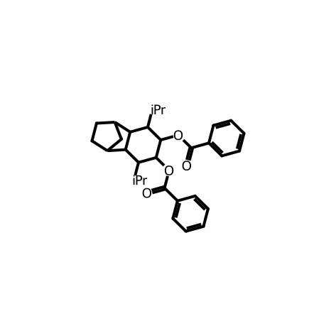 CC(C)C1C(OC(=O)c2ccccc2)C(OC(=O)c2ccccc2)C(C(C)C)C2C3CCC(C3)C12